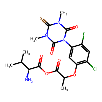 CC(Oc1cc(-n2c(=O)n(C)c(=S)n(C)c2=O)c(F)cc1Cl)C(=O)OC(=O)[C@@H](N)C(C)C